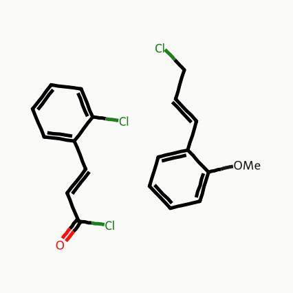 COc1ccccc1C=CCCl.O=C(Cl)C=Cc1ccccc1Cl